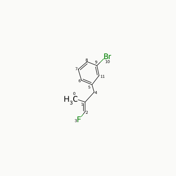 C/C(=C\F)Cc1cccc(Br)c1